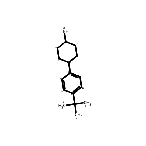 CC(C)(C)c1ccc(C2CCC([NH])CC2)cc1